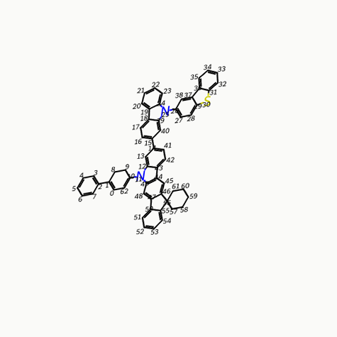 C1=C(c2ccccc2)CCC(n2c3cc(-c4ccc5c6ccccc6n(-c6ccc7sc8ccccc8c7c6)c5c4)ccc3c3cc4c(cc32)-c2ccccc2C42CCCCC2)=C1